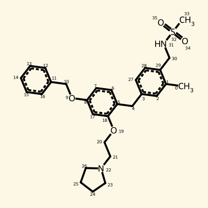 Cc1cc(Cc2[c]cc(OCc3ccccc3)cc2OCCN2CCCC2)ccc1CNS(C)(=O)=O